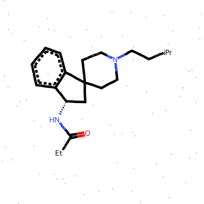 CCC(=O)N[C@H]1CC2(CCN(CCC(C)C)CC2)c2ccccc21